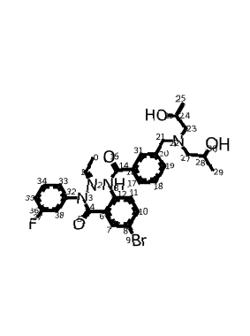 CC=NN(C(=O)c1cc(Br)ccc1NC(=O)c1cccc(CN(CC(C)O)CC(C)O)c1)c1cccc(F)c1